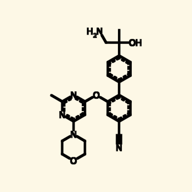 Cc1nc(Oc2cc(C#N)ccc2-c2ccc(C(C)(O)CN)cc2)cc(N2CCOCC2)n1